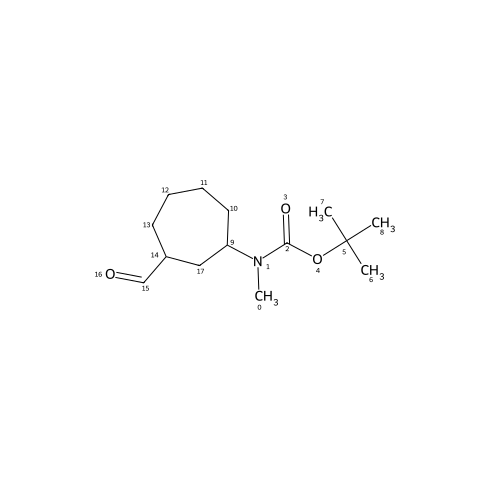 CN(C(=O)OC(C)(C)C)C1CCCCC(C=O)C1